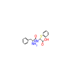 N[C@@H](Cc1ccccc1)C(=O)NC(Sc1ccccc1)C(=O)O